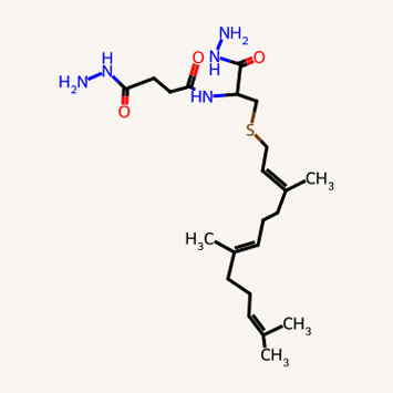 CC(C)=CCCC(C)=CCCC(C)=CCSCC(NC(=O)CCC(=O)NN)C(=O)NN